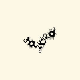 CC(=O)c1ccc(CN2CC3(CCN(C(=O)Nc4ccc(C)cc4)CC3)OC2=O)cc1